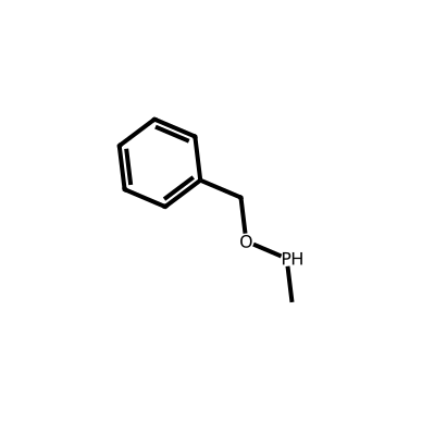 CPOCc1ccccc1